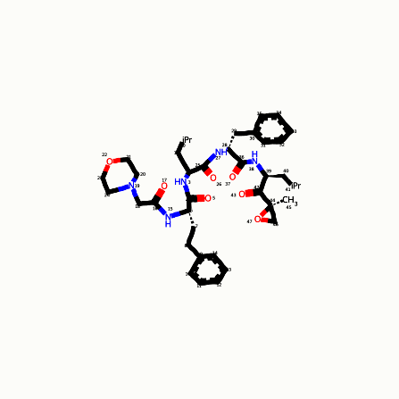 CC(C)CC(NC(=O)[C@H](CCc1ccccc1)NC(=O)CN1CCOCC1)C(=O)N[C@H](Cc1ccccc1)C(=O)N[C@@H](CC(C)C)C(=O)[C@@]1(C)CO1